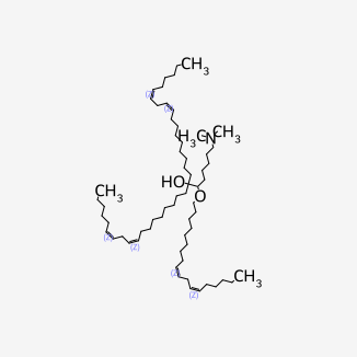 CCCCC/C=C\C/C=C\CCCCCCCCOC(CCCCCN(C)C)C(O)(CCCCCCCC/C=C\C/C=C\CCCCC)CCCCCCCC/C=C\C/C=C\CCCCC